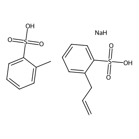 C=CCc1ccccc1S(=O)(=O)O.Cc1ccccc1S(=O)(=O)O.[NaH]